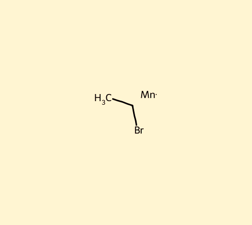 CCBr.[Mn]